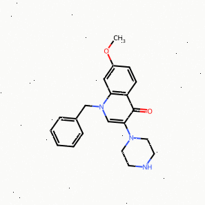 COc1ccc2c(=O)c(N3CCNCC3)cn(Cc3ccccc3)c2c1